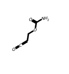 NC(=O)OCC=C=O